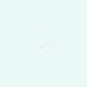 O=C1N(CCO)C2C=CC=CC2N1CCO